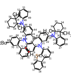 Cc1cc2c3c(c1)N(c1cccc4c1sc1ccccc14)c1cc(N4c5ccccc5C5(C)CCCCC45C)ccc1B3c1ccc(N3c4ccccc4C4(C)CCCCC34C)cc1N2c1ccc(C(C)(C)C)cc1-c1ccccc1